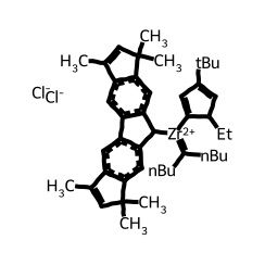 CCCC[C](CCCC)=[Zr+2]([C]1=CC(C(C)(C)C)=CC1CC)[CH]1c2cc3c(cc2-c2cc4c(cc21)C(C)(C)C=C4C)C(C)=CC3(C)C.[Cl-].[Cl-]